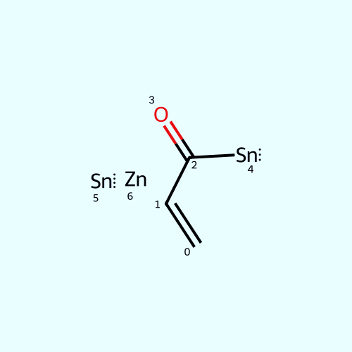 C=C[C](=O)[Sn].[Sn].[Zn]